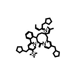 C=C1C2C(CCC(C=C(C)C)(/N=C(\C=C/C)CC3CCCC3)Cc3cc(CC4CCCC4)cc[n+]31)c1ccccc1-c1cc(CC3CCCC3)c([Si](C)(C)C)c[n+]12